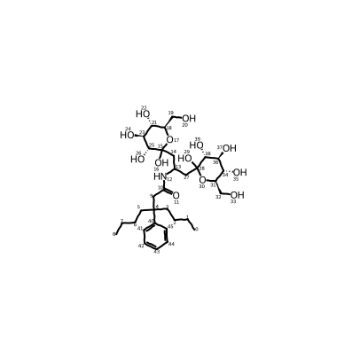 CCCCC(CCCC)(CC(=O)NC(CC1(O)O[C@H](CO)[C@@H](O)[C@H](O)[C@H]1O)CC1(O)O[C@H](CO)[C@@H](O)[C@H](O)[C@H]1O)c1ccccc1